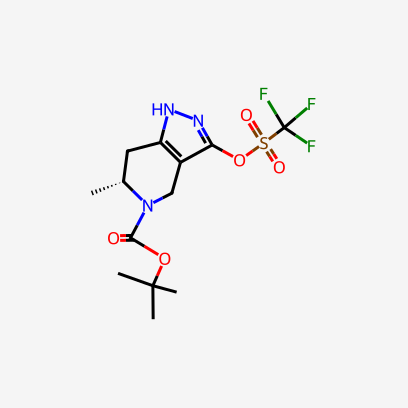 C[C@@H]1Cc2[nH]nc(OS(=O)(=O)C(F)(F)F)c2CN1C(=O)OC(C)(C)C